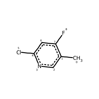 Cc1cnc(Cl)cc1F